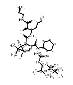 C=CCNC(=O)C(=O)C(CCCC)NC(=O)[C@@H]1[C@@H]2[C@H](CN1C(=O)[C@@H](NC(=O)N[C@H](CS(=O)(=O)C(C)(C)C)C(C)C)C1CCCCC1)C2(C)C